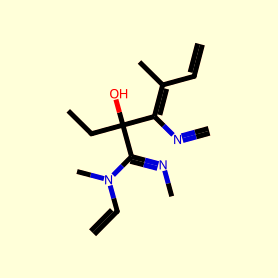 C=C/C(C)=C(\N=C)C(O)(CC)/C(=N/C)N(C)C=C